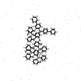 Fc1ccccc1N(c1ccccc1)c1cc2c3c(c1)N(c1ccccc1C(F)(F)F)c1c(cc4c(c1F)Sc1cc(N(c5ccc(-c6ccccc6)cc5)c5ccc(-c6ccccc6)cc5)cc5c1B4c1ccccc1N5c1c(F)cccc1F)B3c1ccccc1N2c1c(F)cccc1F